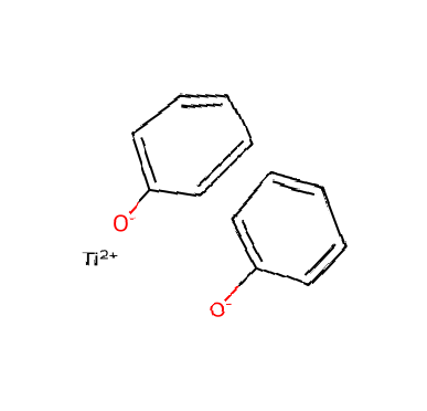 [O-]c1ccccc1.[O-]c1ccccc1.[Ti+2]